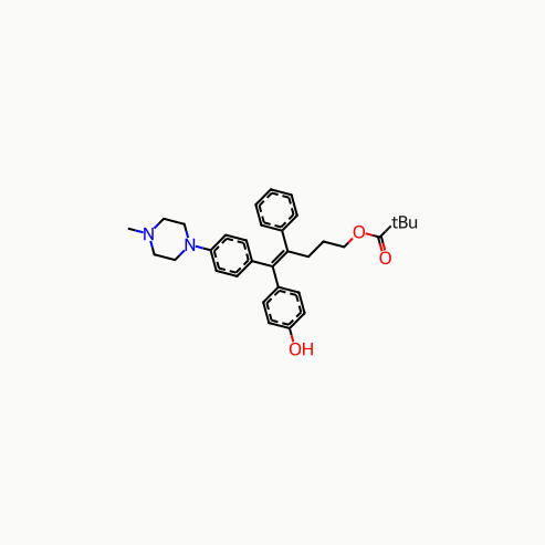 CN1CCN(c2ccc(/C(=C(/CCCOC(=O)C(C)(C)C)c3ccccc3)c3ccc(O)cc3)cc2)CC1